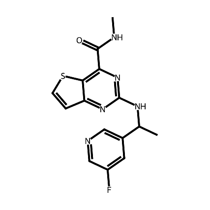 CNC(=O)c1nc(NC(C)c2cncc(F)c2)nc2ccsc12